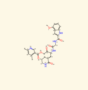 COc1cccc2[nH]c(C(=O)NCC(=O)NC(C[C@@H]3CCCNC3=O)C(=O)COC(=O)c3cnc(C)cc3C)cc12